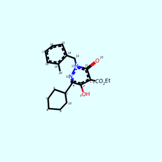 CCOC(=O)c1c(O)c(C2CCCCC2)nn(Cc2ccccc2C)c1=O